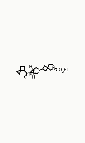 CCOC(=O)N1CCC2(CC(N3C[C@@H]4[C@H](C3)[C@H]4C(=O)C3CCC34CC4)C2)C1